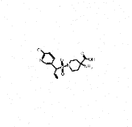 C=CC(c1ccc(Cl)nc1)S(=O)(=O)N1CCC(N)(C(=O)O)CC1